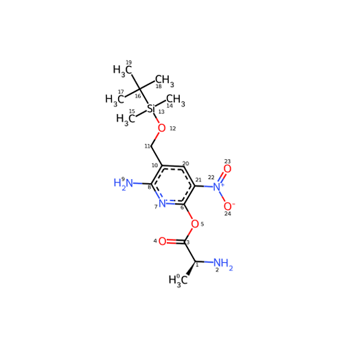 C[C@H](N)C(=O)Oc1nc(N)c(CO[Si](C)(C)C(C)(C)C)cc1[N+](=O)[O-]